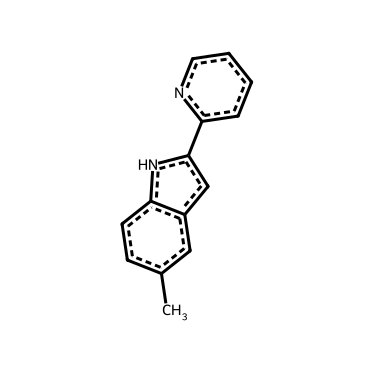 Cc1ccc2[nH]c(-c3ccccn3)cc2c1